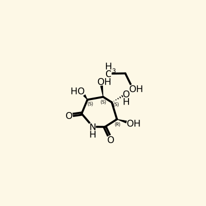 CCO.O=C1NC(=O)[C@H](O)[C@@H](O)[C@H](O)[C@@H]1O